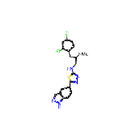 CNC(CNc1nnc(-c2ccc3[nH]ncc3c2)s1)Cc1ccc(Cl)cc1Cl